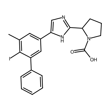 Cc1cc(-c2cnc(C3CCCN3C(=O)O)[nH]2)cc(-c2ccccc2)c1I